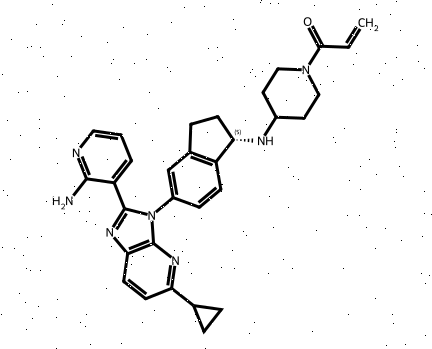 C=CC(=O)N1CCC(N[C@H]2CCc3cc(-n4c(-c5cccnc5N)nc5ccc(C6CC6)nc54)ccc32)CC1